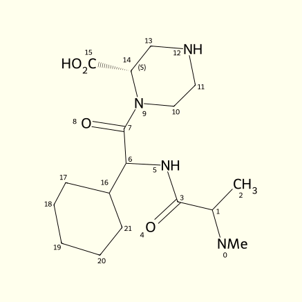 CNC(C)C(=O)NC(C(=O)N1CCNC[C@H]1C(=O)O)C1CCCCC1